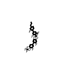 CCCc1ccc(-c2cc(F)c(C(F)(F)Oc3ccc(-c4ccc(OC(F)(F)F)c(F)c4)c(F)c3)c(F)c2)c(F)c1